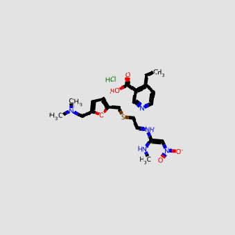 CCc1ccncc1C(=O)O.CNC(=C[N+](=O)[O-])NCCSCc1ccc(CN(C)C)o1.Cl